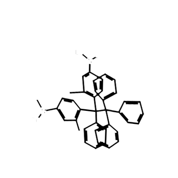 CCN(CC)c1ccc(C(c2ccccc2)(c2ccc(N(CC)CC)cc2C)C(c2ccccc2)(c2ccccc2)c2ccccc2)c(C)c1